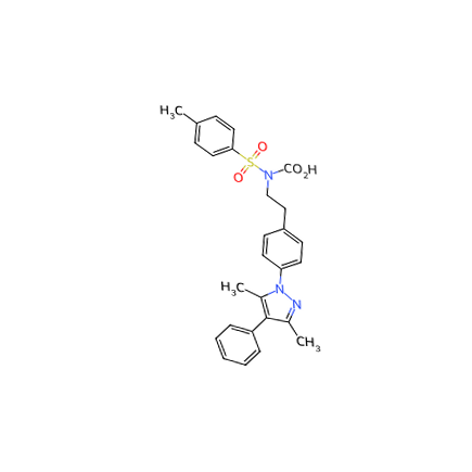 Cc1ccc(S(=O)(=O)N(CCc2ccc(-n3nc(C)c(-c4ccccc4)c3C)cc2)C(=O)O)cc1